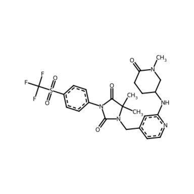 CN1CC(Nc2cc(CN3C(=O)N(c4ccc(S(=O)(=O)C(F)(F)F)cc4)C(=O)C3(C)C)ccn2)CCC1=O